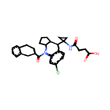 O=C(O)CCC(=O)NC1(C2c3ccc(Cl)cc3N(C(=O)C3CCc4ccccc4C3)C3CCCC32)CC1